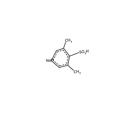 Cc1cccc(C)c1S(=O)(=O)O.[NaH]